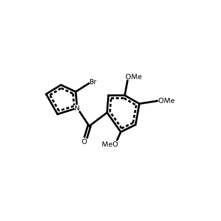 COc1cc(OC)c(C(=O)n2cccc2Br)cc1OC